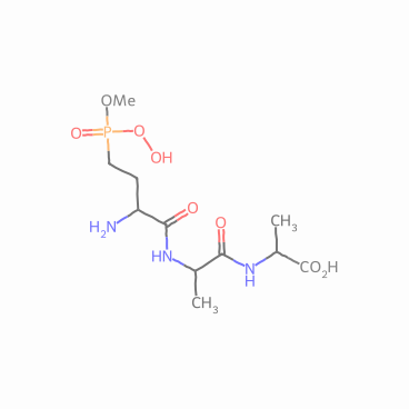 COP(=O)(CCC(N)C(=O)NC(C)C(=O)NC(C)C(=O)O)OO